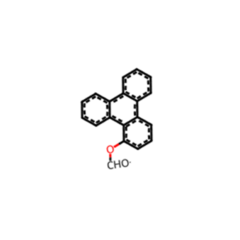 O=[C]Oc1cccc2c3ccccc3c3ccccc3c12